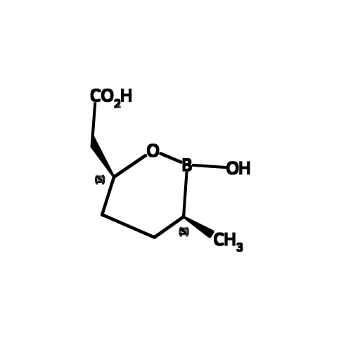 C[C@H]1CC[C@@H](CC(=O)O)OB1O